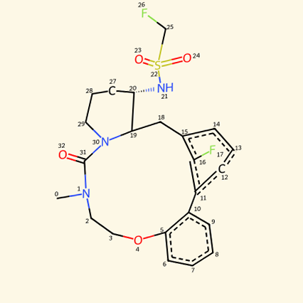 CN1CCOc2ccccc2-c2cccc(c2F)CC2[C@@H](NS(=O)(=O)CF)CCCN2C1=O